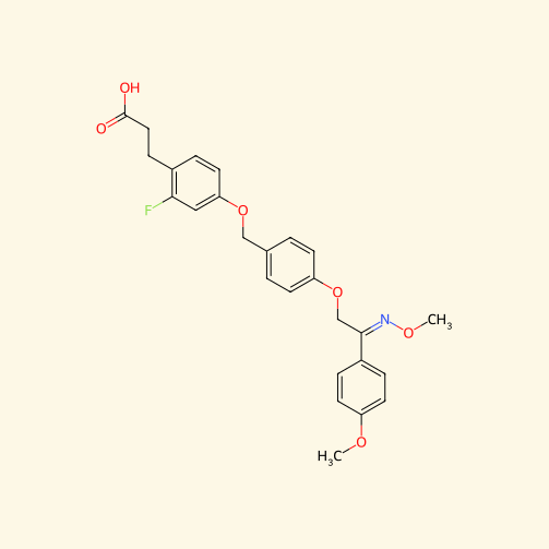 CON=C(COc1ccc(COc2ccc(CCC(=O)O)c(F)c2)cc1)c1ccc(OC)cc1